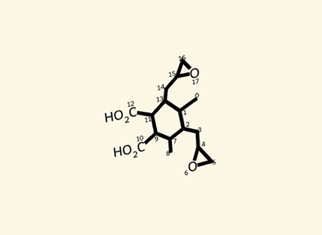 CC1C(CC2CO2)C(C)C(C(=O)O)C(C(=O)O)C1CC1CO1